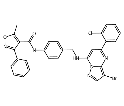 Cc1onc(-c2ccccc2)c1C(=O)Nc1ccc(CNc2cc(-c3ccccc3Cl)nc3c(Br)cnn23)cc1